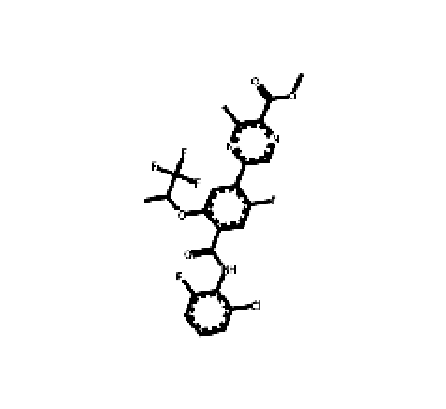 COC(=O)c1ncc(-c2cc(OC(C)C(F)(F)F)c(C(=O)Nc3c(F)cccc3Cl)cc2F)nc1C